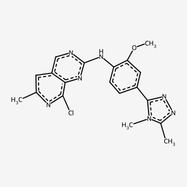 COc1cc(-c2nnc(C)n2C)ccc1Nc1ncc2cc(C)nc(Cl)c2n1